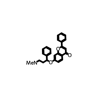 CNCCC(Oc1ccc2c(=O)cc(-c3ccccc3)oc2c1)c1ccccc1